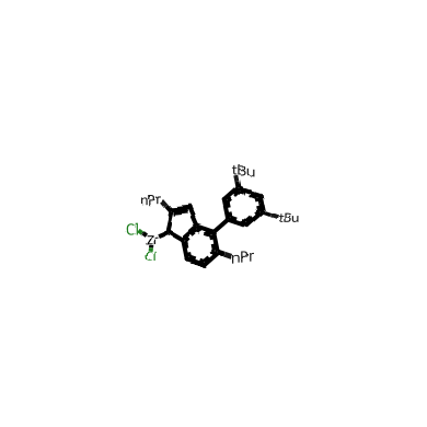 CCCC1=Cc2c(ccc(CCC)c2-c2cc(C(C)(C)C)cc(C(C)(C)C)c2)[CH]1[Zr]([Cl])[Cl]